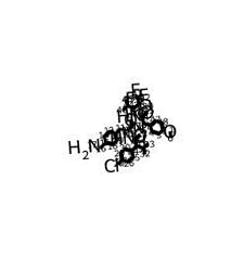 COc1ccc([C@H](NC(=O)[C@H](Cc2ccc(CN)cc2)NC(=O)C(c2ccc(Cl)cc2)C(C)C)C(=O)N[C@H](C(=O)C(F)(F)F)C(C)C)cc1